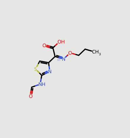 CCCO/N=C(\C(=O)O)c1csc(NC=O)n1